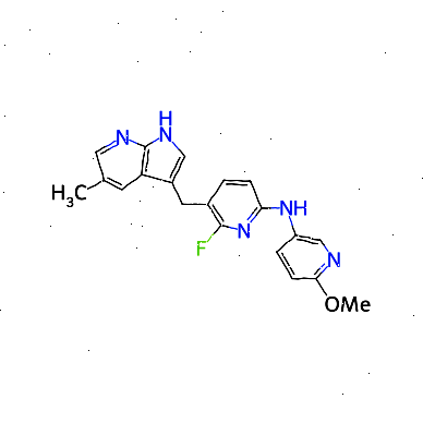 COc1ccc(Nc2ccc(Cc3c[nH]c4ncc(C)cc34)c(F)n2)cn1